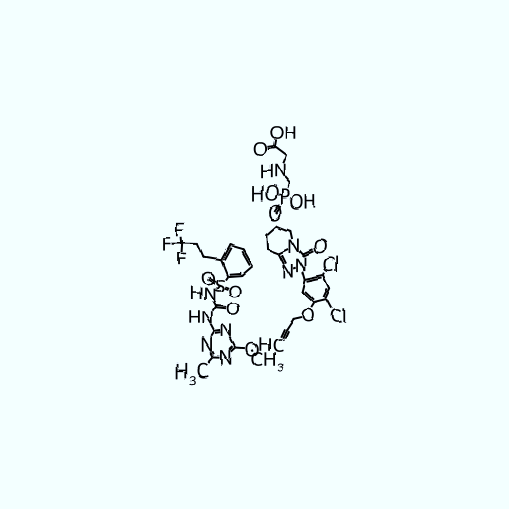 C#CCOc1cc(-n2nc3n(c2=O)CCCC3)c(Cl)cc1Cl.COc1nc(C)nc(NC(=O)NS(=O)(=O)c2ccccc2CCC(F)(F)F)n1.O=C(O)CNCP(=O)(O)O